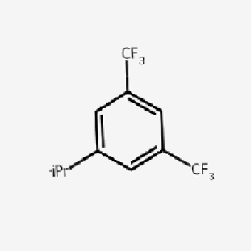 C[C](C)c1cc(C(F)(F)F)cc(C(F)(F)F)c1